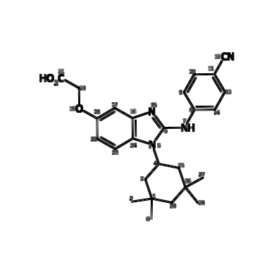 CC1(C)CC(n2c(Nc3ccc(C#N)cc3)nc3cc(OCC(=O)O)ccc32)CC(C)(C)C1